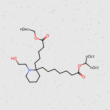 CCCCCCCCCCCOC(=O)CCCCC1(CCCCCCC(=O)OC(CCCCCCCC)CCCCCCCC)CCCCN1CCO